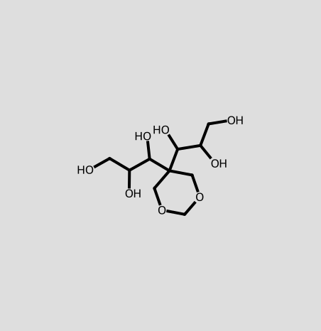 OCC(O)C(O)C1(C(O)C(O)CO)COCOC1